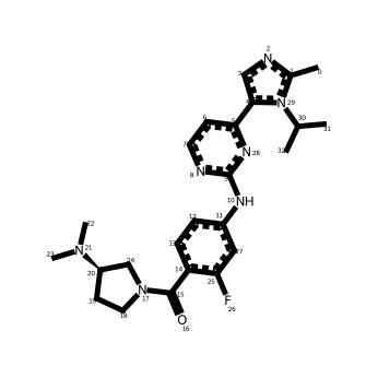 Cc1ncc(-c2ccnc(Nc3ccc(C(=O)N4CC[C@@H](N(C)C)C4)c(F)c3)n2)n1C(C)C